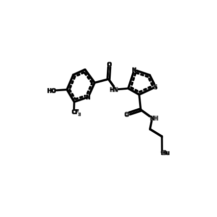 CC(C)(C)CCNC(=O)c1scnc1NC(=O)c1ccc(O)c(C(F)(F)F)n1